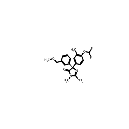 COCc1cccc([C@@]2(c3ccc(OC(F)F)c(C)c3)N=C(N)N(C)C2=O)c1